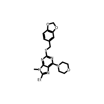 CCc1nc2c(N3CCOCC3)nc(SCc3ccc4c(c3)OCO4)nc2n1C